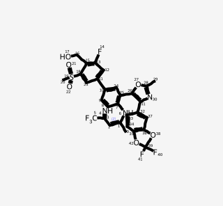 C/C(=C/C(=N)C(F)(F)F)Nc1ccc(-c2cc(F)c(CO)c(S(C)(=O)=O)c2)cc1-c1oc(C)nc1-c1ccc2c(c1)OC(F)(F)O2